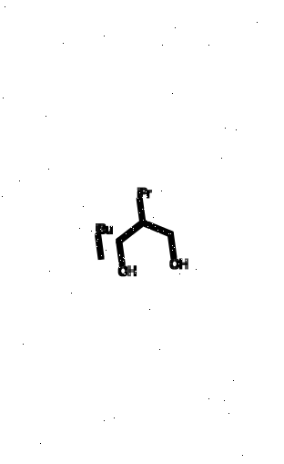 CC(C)C(CO)CO.CCC(C)C